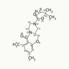 Cc1cc(C)c2c(c1)OCC1CN(C(=O)OC(C)(C)C)CCN1C2=O